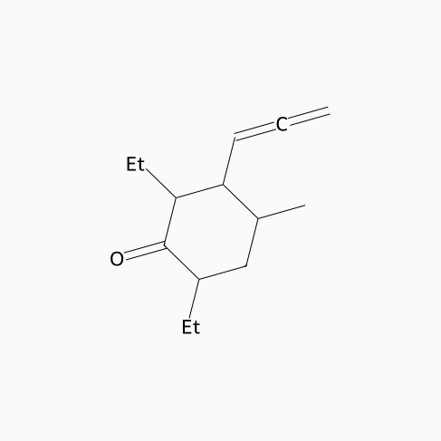 C=C=CC1C(C)CC(CC)C(=O)C1CC